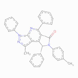 Cc1ccc(N2C(=O)c3c(-c4ccccc4)nc4c(c(C)nn4-c4ccccc4)c3C2c2ccccc2)cc1